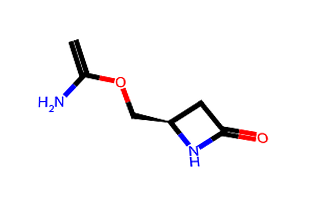 C=C(N)OC[C@H]1CC(=O)N1